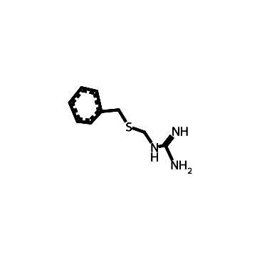 N=C(N)NCSCc1ccccc1